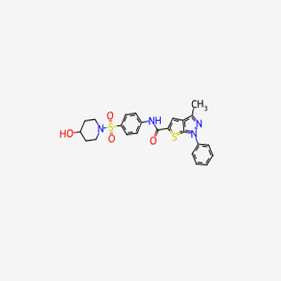 Cc1nn(-c2ccccc2)c2sc(C(=O)Nc3ccc(S(=O)(=O)N4CCC(O)CC4)cc3)cc12